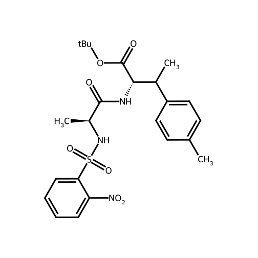 Cc1ccc(C(C)[C@H](NC(=O)[C@H](C)NS(=O)(=O)c2ccccc2[N+](=O)[O-])C(=O)OC(C)(C)C)cc1